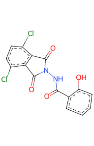 O=C(NN1C(=O)c2c(Cl)ccc(Cl)c2C1=O)c1ccccc1O